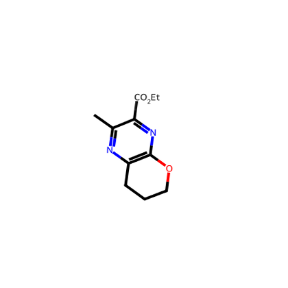 CCOC(=O)c1nc2c(nc1C)CCCO2